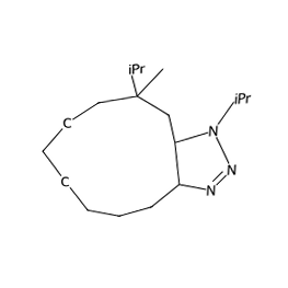 CC(C)N1N=NC2CCCCCCCC(C)(C(C)C)CC21